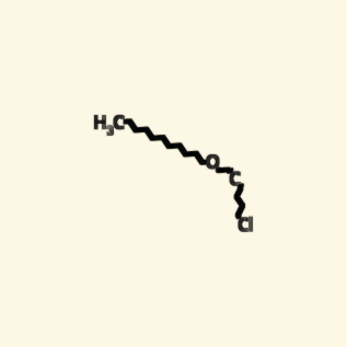 CCCCCCCCCCCOCC=C=CCCCCl